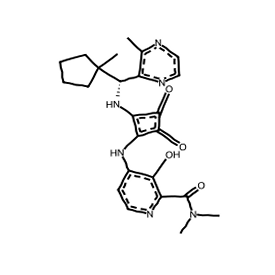 Cc1nccnc1[C@H](Nc1c(Nc2ccnc(C(=O)N(C)C)c2O)c(=O)c1=O)C1(C)CCCC1